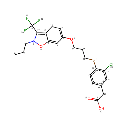 CCCN1OC2=CC(OCCCSc3ccc(CC(=O)O)cc3Cl)=CCC2=C1C(F)(F)F